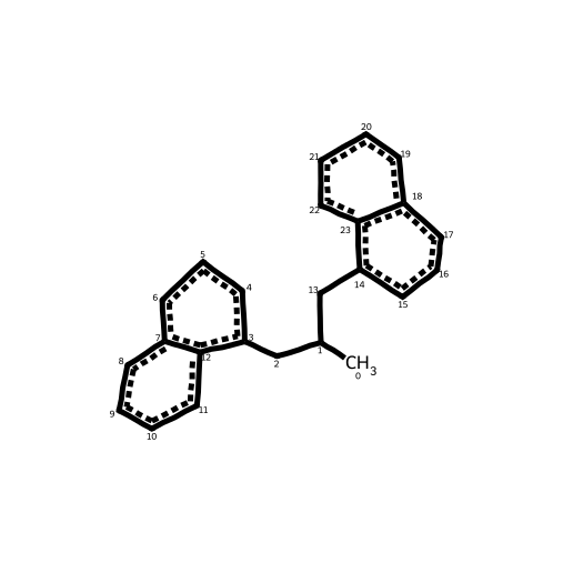 CC(Cc1cccc2ccccc12)Cc1cccc2ccccc12